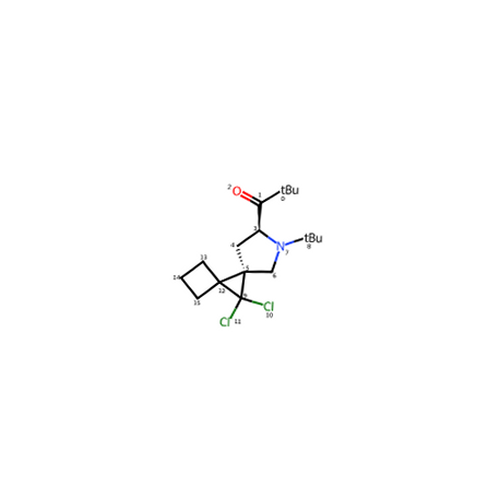 CC(C)(C)C(=O)[C@@H]1C[C@]2(CN1C(C)(C)C)C(Cl)(Cl)C21CCC1